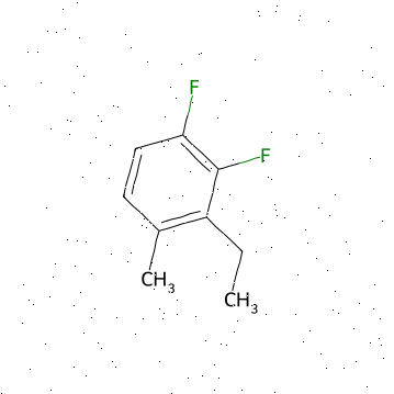 CCc1c(C)ccc(F)c1F